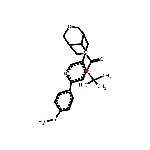 CSc1ccc(-c2ccc(OC3C4COCC3CN(C(=O)OC(C)(C)C)C4)cn2)cc1